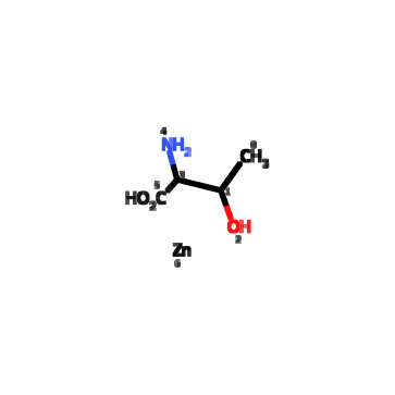 CC(O)C(N)C(=O)O.[Zn]